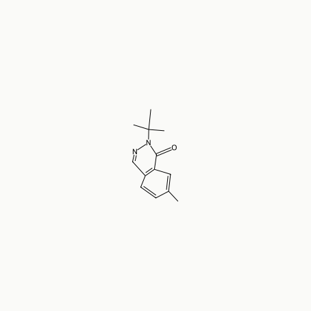 Cc1ccc2cnn(C(C)(C)C)c(=O)c2c1